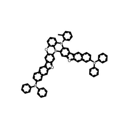 Cc1ccccc1N1c2cc3c(cc2B2c4cc5oc6cc7cc(N(c8ccccc8)c8ccccc8)ccc7cc6c5cc4Oc4cccc1c42)oc1cc2cc(N(c4ccccc4)c4ccccc4)ccc2cc13